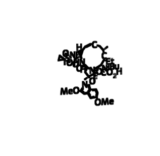 CCC(C)N(C(=O)O)[C@@H]1C(=O)N2[C@@H](C[C@@](C)(Oc3nc(OC)cc4cc(OC)ccc34)C2(F)F)C(=O)N[C@]2(C(=O)NS(=O)(=O)C3(C)CC3)C[C@H]2/C=C\CC[C@@H](C)C[C@H]1CC